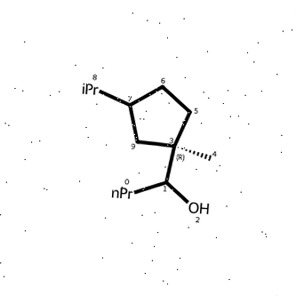 CCCC(O)[C@]1(C)CCC(C(C)C)C1